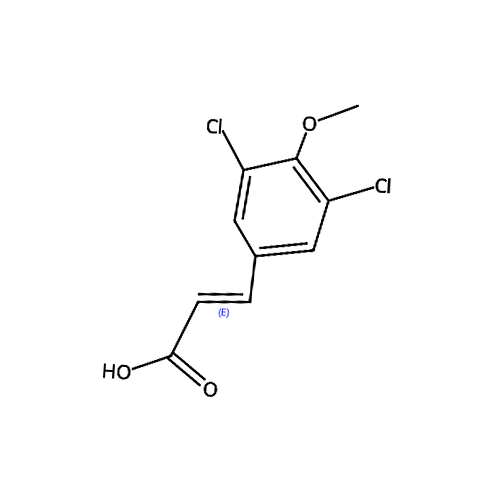 COc1c(Cl)cc(/C=C/C(=O)O)cc1Cl